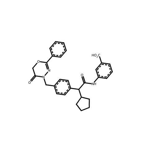 O=C(O)c1cccc(NC(=O)C(c2ccc(CN3N=C(c4ccccc4)OCC3=O)cc2)C2CCCC2)c1